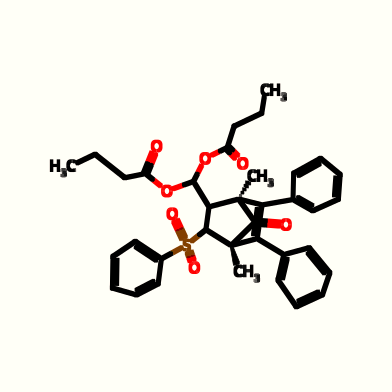 CCCC(=O)OC(OC(=O)CCC)C1C(S(=O)(=O)c2ccccc2)[C@]2(C)C(=O)[C@]1(C)C(c1ccccc1)=C2c1ccccc1